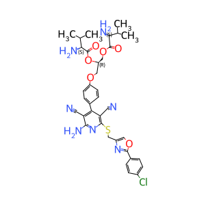 CC(C)[C@H](N)C(=O)OC[C@@H](COc1ccc(-c2c(C#N)c(N)nc(SCc3coc(-c4ccc(Cl)cc4)n3)c2C#N)cc1)OC(=O)[C@@H](N)C(C)C